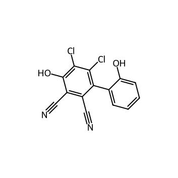 N#Cc1c(O)c(Cl)c(Cl)c(-c2ccccc2O)c1C#N